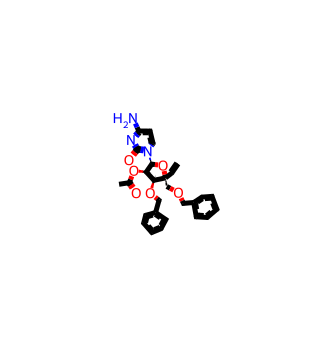 C=C[C@]1(COCc2ccccc2)O[C@@H](n2ccc(N)nc2=O)[C@H](OC(C)=O)[C@@H]1OCc1ccccc1